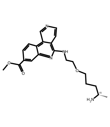 COC(=O)c1ccc2c(c1)nc(NCCOCCC[C@H](C)N)c1ccncc12